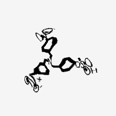 CS(=O)(=O)O.O=[N+]([O-])c1ccc(CN(Cc2ccccc2)Cc2ccc([N+](=O)[O-])cc2)cc1